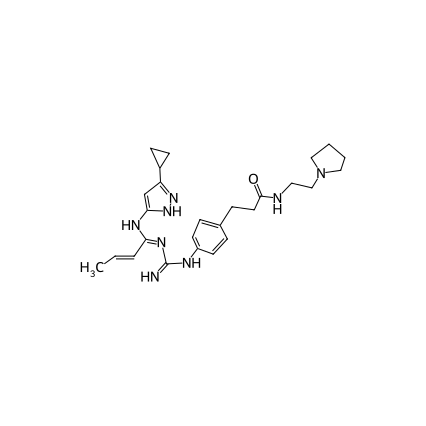 C/C=C/C(=N\C(=N)Nc1ccc(CCC(=O)NCCN2CCCC2)cc1)Nc1cc(C2CC2)n[nH]1